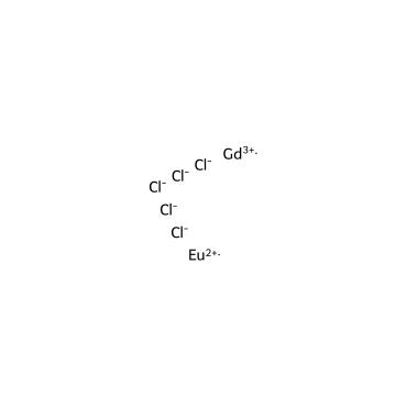 [Cl-].[Cl-].[Cl-].[Cl-].[Cl-].[Eu+2].[Gd+3]